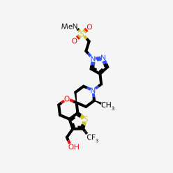 CNS(=O)(=O)CCn1cc(CN2CC[C@]3(C[C@@H]2C)OCCc2c3sc(C(F)(F)F)c2CO)cn1